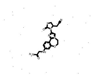 N#CCC1CSC(=O)N1c1cn2c(n1)-c1ccc(NCC(N)=O)cc1OCC2